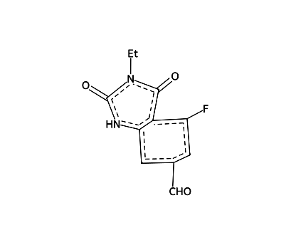 CCn1c(=O)[nH]c2cc(C=O)cc(F)c2c1=O